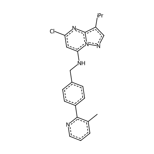 Cc1cccnc1-c1ccc(CNc2cc(Cl)nc3c(C(C)C)cnn23)cc1